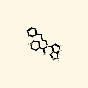 O=C(C1CCNCC1)N(CCCc1ccccc1)c1ccnc2[nH]ncc12